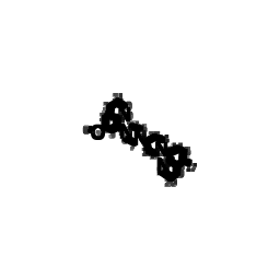 COc1cc(N2CCN(C3CCN(c4ccc(C)c5cccnc45)CC3)CC2)c2ncccc2c1